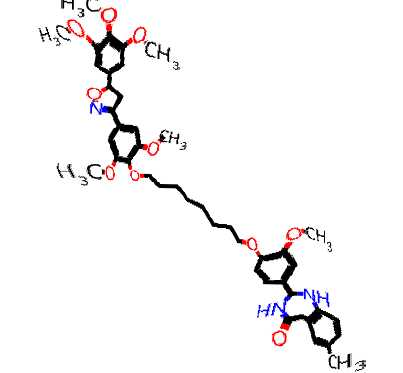 COc1cc(C2NC(=O)c3cc(C)ccc3N2)ccc1OCCCCCCCCOc1c(OC)cc(C2=NOC(c3cc(OC)c(OC)c(OC)c3)C2)cc1OC